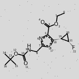 CCOC(=O)c1nc(CNC(=O)OC(C)(C)C)sc1[C@@H]1C[C@@H]1F